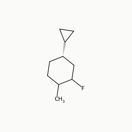 CC1CC[C@H](C2CC2)CC1F